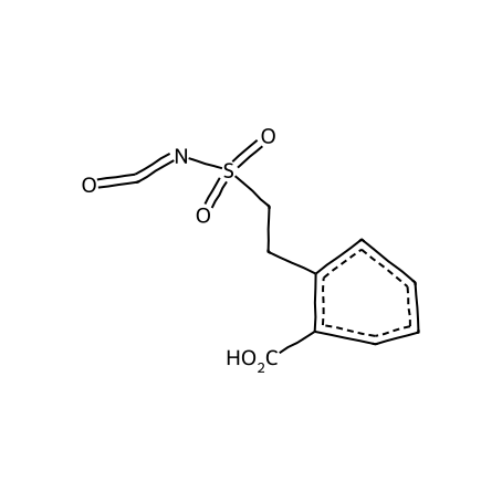 O=C=NS(=O)(=O)CCc1ccccc1C(=O)O